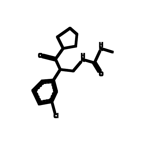 CNC(=O)NCC(C(=O)C1CCCC1)c1cccc(Cl)c1